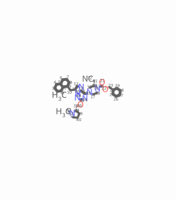 Cc1cccc2cccc(Cc3cnc4c(N5CCN(C(=O)OCc6ccccc6)[C@@H](CC#N)C5)nc(OC[C@@H]5CCCN5C)nn34)c12